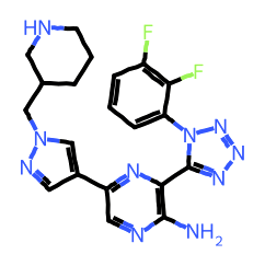 Nc1ncc(-c2cnn(CC3CCCNC3)c2)nc1-c1nnnn1-c1cccc(F)c1F